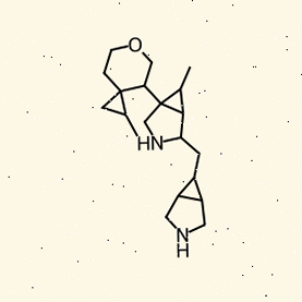 CC1CC12CCOCC2C12CNC(CC3C4CNCC43)C1C2C